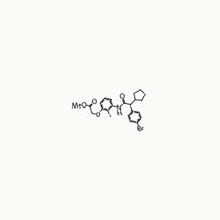 COC(=O)[C@@H](C)Oc1cccc(NC(=O)[C@H](c2ccc(Br)cc2)C2CCCC2)c1C